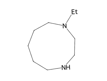 CCN1CCCCCNCC1